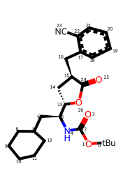 CC(C)(C)OC(=O)N[C@@H](CC1CCCCC1)[C@@H]1C[C@@H](Cc2ccccc2C#N)C(=O)O1